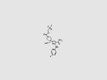 N#CCC1(n2cc(C(N)=O)c(Nc3ccc(F)cc3)n2)CCN(C(=O)OCC(F)(F)F)CC1